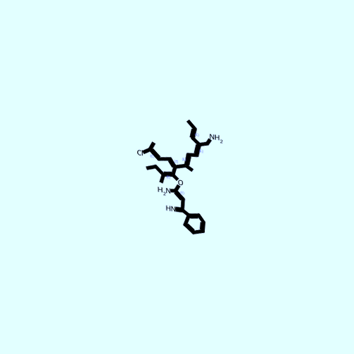 C\C=C\C(=C/C=C(C)/C(=C/C=C(\C)Cl)C(/O/C(N)=C/C(=N)c1ccccc1)=C(/C)CC)CN